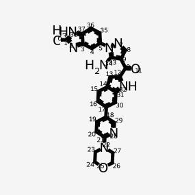 Cc1nc2cc(-n3ncc(C(=O)c4cc5ccc(-c6ccc(N7CCOCC7)nc6)cc5[nH]4)c3N)ccc2[nH]1